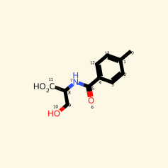 Cc1ccc(C(=O)NC(CO)C(=O)O)cc1